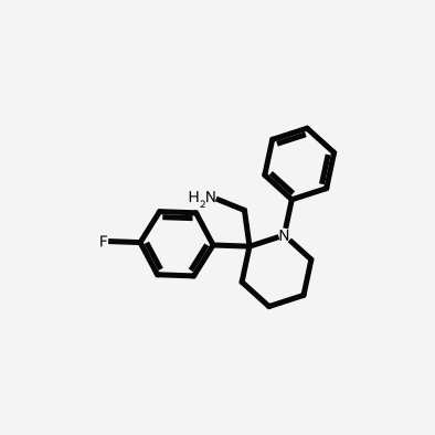 NCC1(c2ccc(F)cc2)CCCCN1c1ccccc1